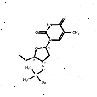 Cc1cn([C@H]2C[C@H](O[Si](C)(C)C(C)(C)C)[C@@H](CI)O2)c(=O)[nH]c1=O